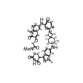 CNC(=O)COc1cc2cc(Nc3nc(N4CC5(CC[C@@H](Nc6ccc7c(C8CCC(=O)NC8=O)nn(C)c7c6)[C@@H](C)C5)C4)ncc3Cl)cnc2n(C)c1=O